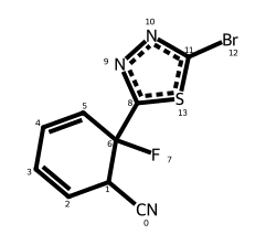 N#CC1C=CC=CC1(F)c1nnc(Br)s1